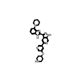 c1cc(N2CCCCC2)c2nc(-c3n[nH]c4cnc(-c5cncc(OC6CCNCC6)c5)cc34)[nH]c2c1